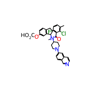 Cc1ccc(F)c(C(=O)[N+](C)(C2CCN(c3ccc4cnccc4c3)CC2)C2CCc3ccc(OC(=O)O)cc32)c1Cl